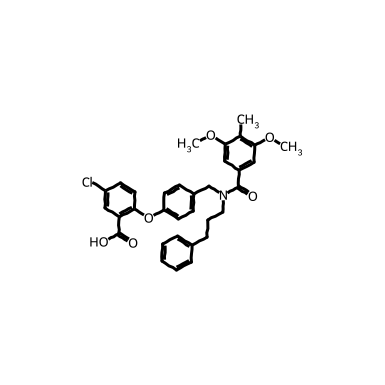 COc1cc(C(=O)N(CCCc2ccccc2)Cc2ccc(Oc3ccc(Cl)cc3C(=O)O)cc2)cc(OC)c1C